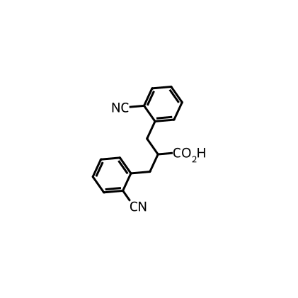 N#Cc1ccccc1CC(Cc1ccccc1C#N)C(=O)O